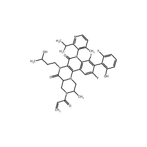 C=CC(=O)N1CC2C(=O)N(CCC(C)O)c3c(c4cc(F)c(-c5c(O)cccc5F)c(F)c4n(-c4c(C)ccnc4C(C)C)c3=O)N2CC1C